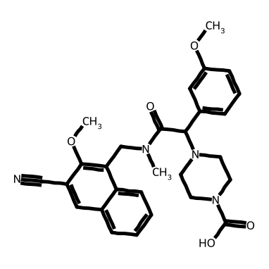 COc1cccc(C(C(=O)N(C)Cc2c(OC)c(C#N)cc3ccccc23)N2CCN(C(=O)O)CC2)c1